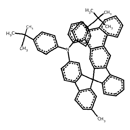 Cc1ccc2c(c1)C1(c3ccccc3-c3cc4c5ccccc5c5ccccc5c4cc31)c1cc(N(c3ccc(C(C)(C)C)cc3)c3ccc(C(C)(C)C)cc3)ccc1-2